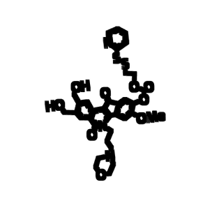 COc1cc2c(cc1OC(=O)OCCSSc1ccccn1)C(=O)c1c-2n(CCCN2CCOCC2)c(=O)c2cc(CO)c(CO)cc12